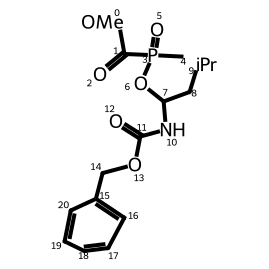 COC(=O)P(C)(=O)OC(CC(C)C)NC(=O)OCc1ccccc1